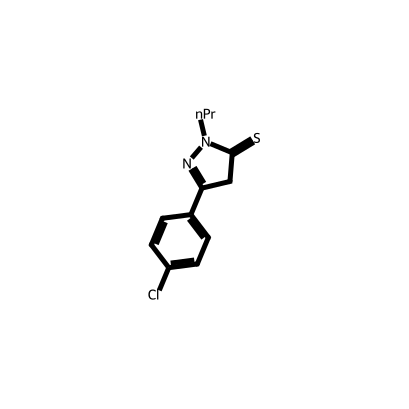 CCCN1N=C(c2ccc(Cl)cc2)CC1=S